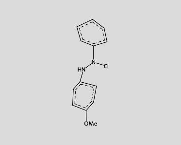 COc1ccc(NN(Cl)c2ccccc2)cc1